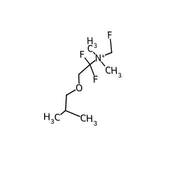 CC(C)COCC(F)(F)[N+](C)(C)CF